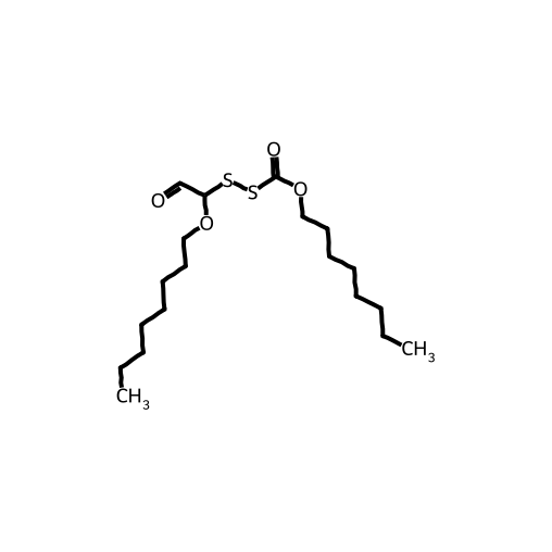 CCCCCCCCOC(=O)SSC(C=O)OCCCCCCCC